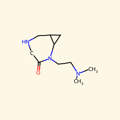 CN(C)CCN1C(=O)CNCC2CC21